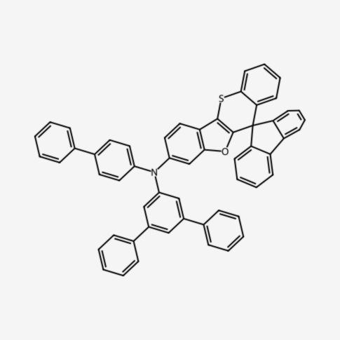 c1ccc(-c2ccc(N(c3cc(-c4ccccc4)cc(-c4ccccc4)c3)c3ccc4c5c(oc4c3)C3(c4ccccc4S5)c4ccccc4-c4ccccc43)cc2)cc1